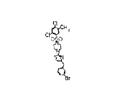 Cc1cc(S(=O)(=O)N2CCN(c3nc(Cc4cccc(Br)c4)cs3)CC2)c(Cl)cc1Cl